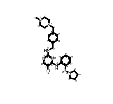 CN1CCN(Cc2ccc(CNc3ncc(Cl)c(Nc4ccccc4SN4CCCC4)n3)cc2)CC1